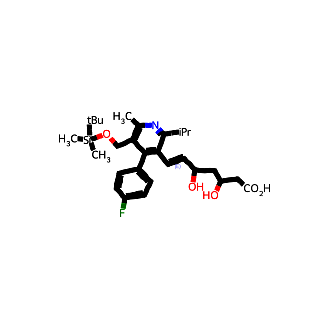 Cc1nc(C(C)C)c(/C=C/C(O)CC(O)CC(=O)O)c(-c2ccc(F)cc2)c1CO[Si](C)(C)C(C)(C)C